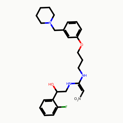 O=[N+]([O-])C=C(NCCCOc1cccc(CN2CCCCC2)c1)NCC(O)c1ccccc1F